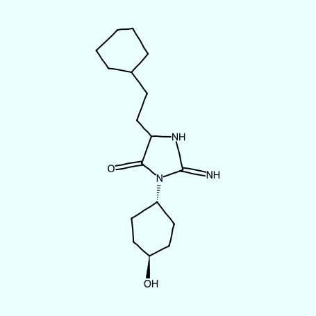 N=C1NC(CCC2CCCCC2)C(=O)N1[C@H]1CC[C@H](O)CC1